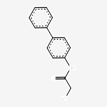 N#CCC(=O)Nc1ccc(-c2ccccc2)cc1